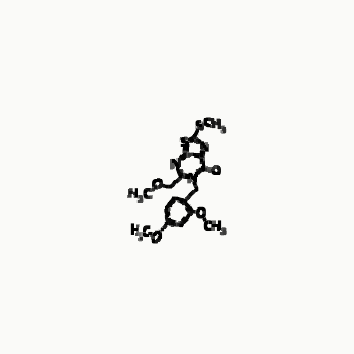 COCc1nc2sc(SC)nc2c(=O)n1Cc1ccc(OC)cc1OC